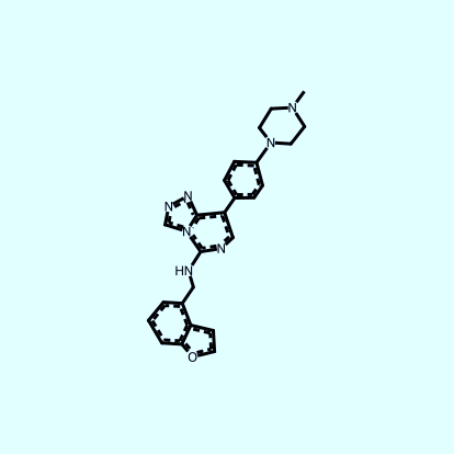 CN1CCN(c2ccc(-c3cnc(NCc4cccc5occc45)n4cnnc34)cc2)CC1